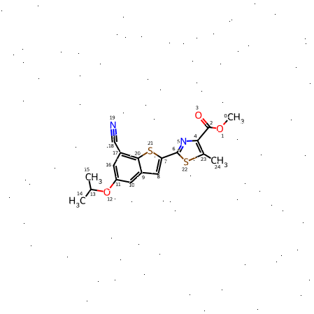 COC(=O)c1nc(-c2cc3cc(OC(C)C)cc(C#N)c3s2)sc1C